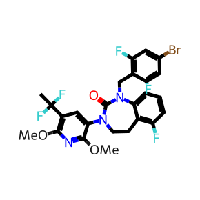 COc1nc(OC)c(C(C)(F)F)cc1N1CCc2c(F)cccc2N(Cc2c(F)cc(Br)cc2F)C1=O